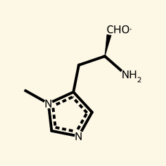 Cn1cncc1C[C@H](N)[C]=O